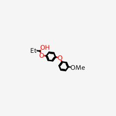 CCC(O)Oc1ccc(Oc2cccc(OC)c2)cc1